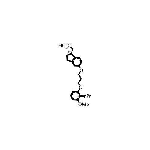 CCCc1c(OC)cccc1OCCCOc1ccc2c(c1)CC[C@H]2CC(=O)O